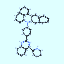 c1ccc(-c2nc(-c3ccc(N4c5cc6ccccc6cc5-c5cccc6cccc4c56)cc3)nc3ccccc23)nc1